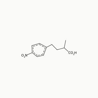 CC(CCc1ccc([N+](=O)[O-])cc1)C(=O)O